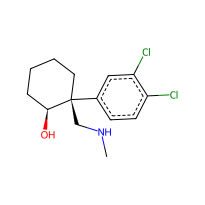 CNC[C@]1(c2ccc(Cl)c(Cl)c2)CCCC[C@@H]1O